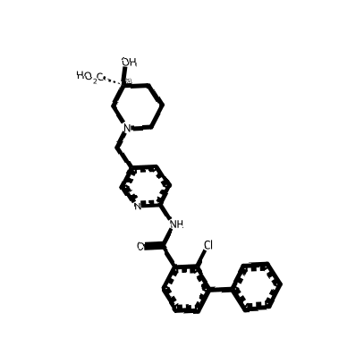 O=C(Nc1ccc(CN2CCC[C@@](O)(C(=O)O)C2)cn1)c1cccc(-c2ccccc2)c1Cl